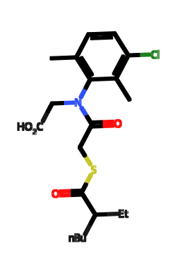 CCCCC(CC)C(=O)SCC(=O)N(CC(=O)O)c1c(C)ccc(Cl)c1C